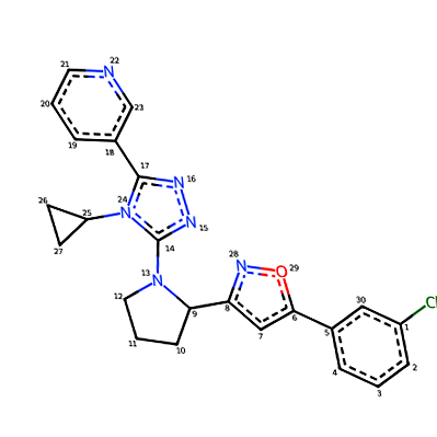 Clc1cccc(-c2cc(C3CCCN3c3nnc(-c4cccnc4)n3C3CC3)no2)c1